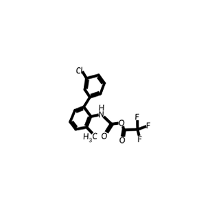 Cc1cccc(-c2cccc(Cl)c2)c1NC(=O)OC(=O)C(F)(F)F